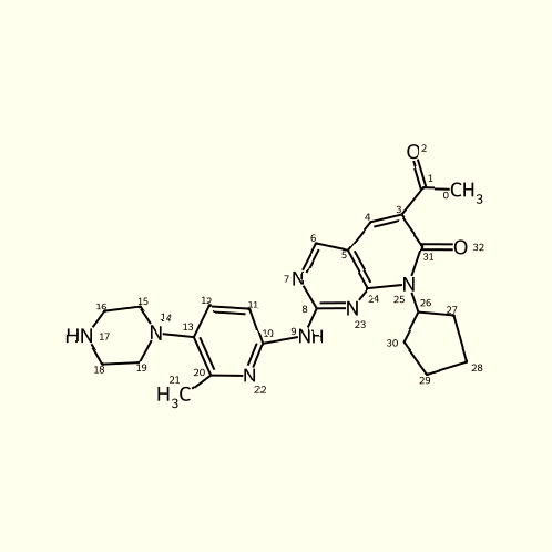 CC(=O)c1cc2cnc(Nc3ccc(N4CCNCC4)c(C)n3)nc2n(C2CCCC2)c1=O